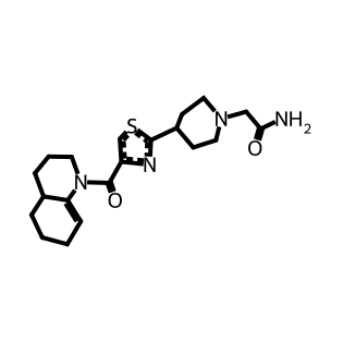 NC(=O)CN1CCC(c2nc(C(=O)N3CCCC4CCCC=C43)cs2)CC1